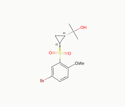 COc1ccc(Br)cc1S(=O)(=O)[C@H]1C[C@@H]1C(C)(C)O